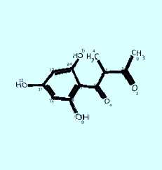 CC(=O)C(C)C(=O)c1c(O)cc(O)cc1O